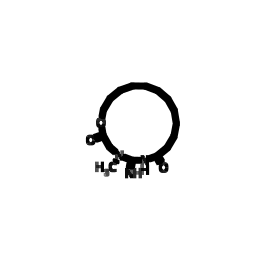 CN1CC(=O)OCCCCCCCCCCCC(=O)NC1=N